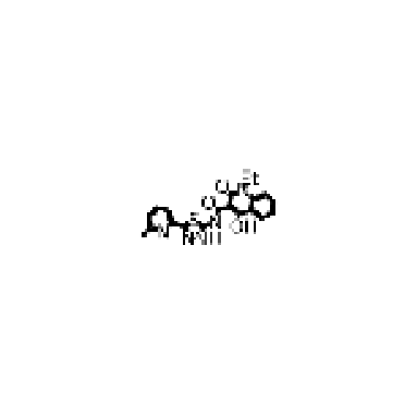 CCn1c(=O)c(C(=O)Nc2nnc(-c3cccc(C)n3)s2)c(O)c2ccccc21